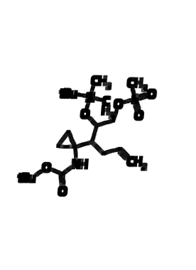 C=CCC(C(COS(C)(=O)=O)O[Si](C)(C)C(C)(C)C)C1(NC(=O)OC(C)(C)C)CC1